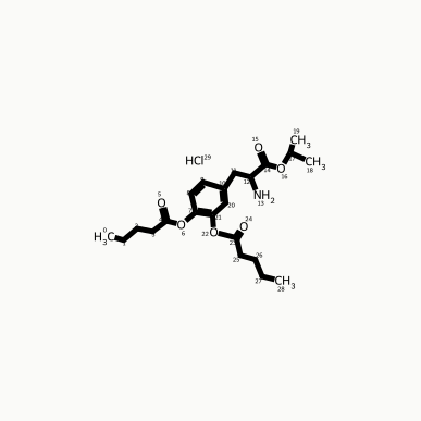 CCCCC(=O)Oc1ccc(CC(N)C(=O)OC(C)C)cc1OC(=O)CCCC.Cl